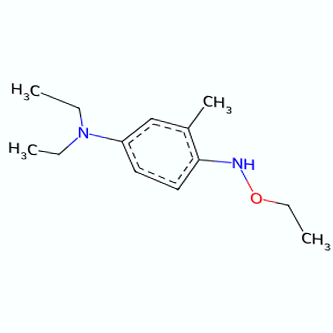 CCONc1ccc(N(CC)CC)cc1C